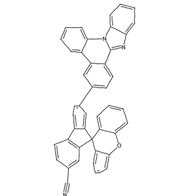 N#Cc1ccc2c(c1)C1(c3ccccc3Oc3ccccc31)c1cc(-c3ccc4c(c3)c3ccccc3n3c5ccccc5nc43)ccc1-2